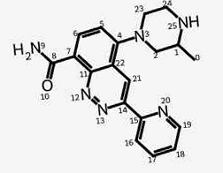 CC1CN(c2ccc(C(N)=O)c3nnc(-c4ccccn4)cc23)CCN1